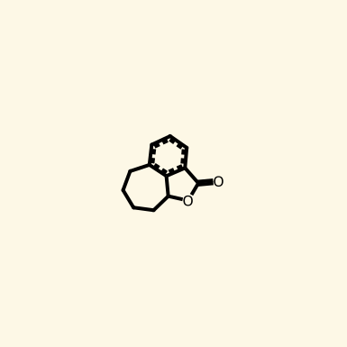 O=C1OC2CCCCc3cccc1c32